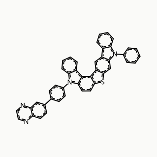 c1ccc(-n2c3ccccc3c3cc4c(cc32)sc2ccc3c(c5ccccc5n3-c3ccc(-c5ccc6nccnc6c5)cc3)c24)cc1